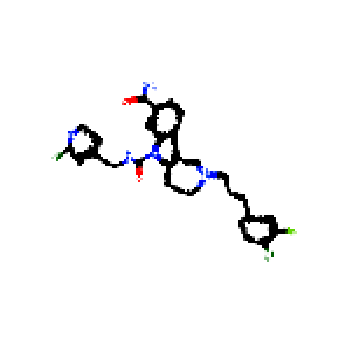 NC(=O)c1ccc2c3c(n(C(=O)NCc4ccnc(Cl)c4)c2c1)CCN(C/C=C/c1ccc(Cl)c(F)c1)C3